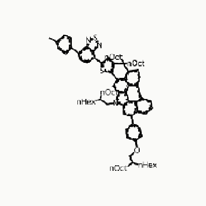 CCCCCCCCC(CCCCCC)COc1ccc(-c2cc3c4c5c2cccc5c2ccc5c6c(cc(c4c62)n3CC(CCCCCC)CCCCCCCC)-c2sc(-c3ccc(-c4ccc(C)cc4)c4nsnc34)cc2C5(CCCCCCCC)CCCCCCCC)cc1